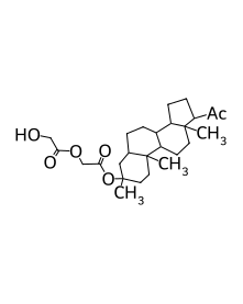 CC(=O)C1CCC2C3CCC4CC(C)(OC(=O)COC(=O)CO)CCC4(C)C3CCC12C